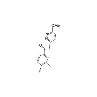 COc1ccc(CC(=O)c2ccc(F)c(F)c2)nn1